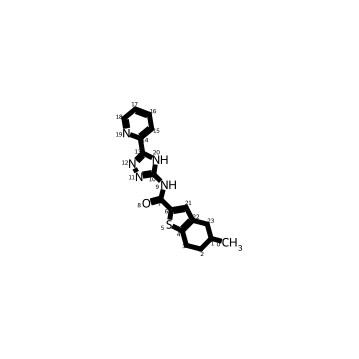 CC1CCc2sc(C(=O)Nc3nnc(-c4ccccn4)[nH]3)cc2C1